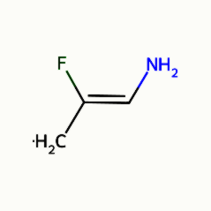 [CH2]C(F)=CN